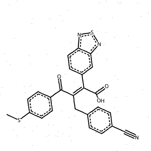 CSc1ccc(C(=O)/C(Cc2ccc(C#N)cc2)=C(/C(=O)O)c2ccc3nsnc3c2)cc1